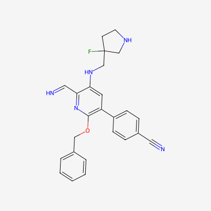 N#Cc1ccc(-c2cc(NCC3(F)CCNC3)c(C=N)nc2OCc2ccccc2)cc1